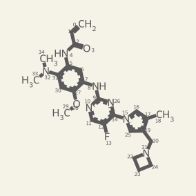 C=CC(=O)Nc1cc(Nc2ncc(F)c(-n3cc(C)c(CN4CCC4)c3)n2)c(OC)cc1N(C)C